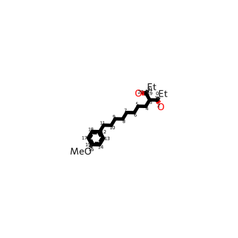 CCC(=O)C(CCCCCCCCc1ccc(OC)cc1)C(=O)CC